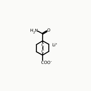 NC(=O)C12CCC(C(=O)[O-])(CC1)CC2.[Li+]